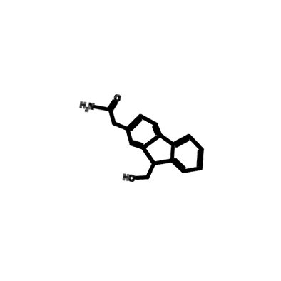 NC(=O)Cc1ccc2c(c1)C(CO)c1ccccc1-2